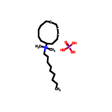 CCCCCCCCC[N+](C)(C)C1CCCCCCCCCCC1.O=P(O)(O)O